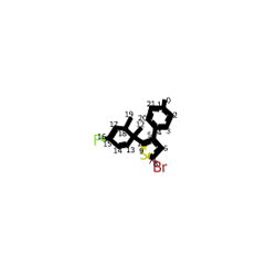 Cc1ccc(-c2cc(Br)sc2C2(C)C=CC(F)=CC2C)cc1